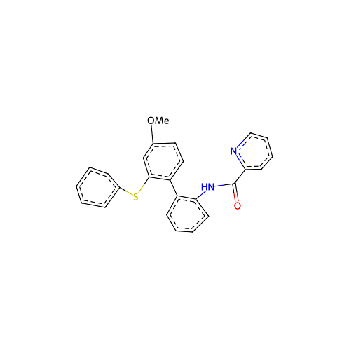 COc1ccc(-c2ccccc2NC(=O)c2ccccn2)c(Sc2ccccc2)c1